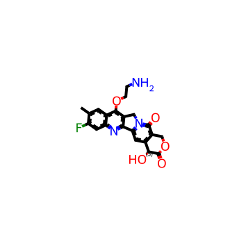 Cc1cc2c(OCCN)c3c(nc2cc1F)-c1cc2c(c(=O)n1C3)COC(=O)[C@H]2O